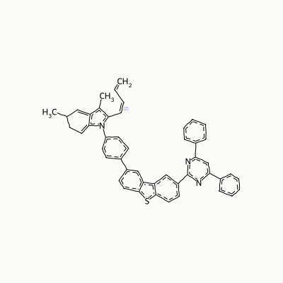 C=C/C=C\c1c(C)c2c(n1-c1ccc(-c3ccc4sc5ccc(-c6nc(-c7ccccc7)cc(-c7ccccc7)n6)cc5c4c3)cc1)=CCC(C)C=2